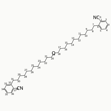 N#Cc1ccccc1CCCCCCCCCCCCOCCCCCCCCCCCCc1ccccc1C#N